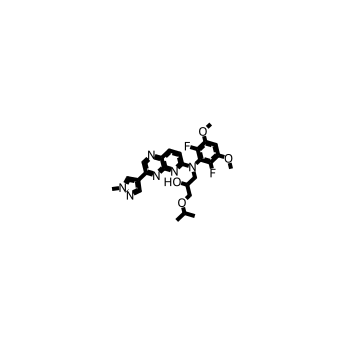 COc1cc(OC)c(F)c(N(CC(O)COC(C)C)c2ccc3ncc(-c4cnn(C)c4)nc3n2)c1F